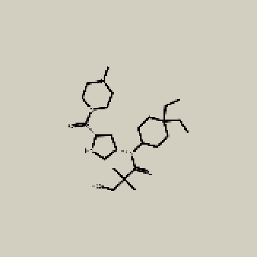 CCC1(CC)CCC(N(C(=O)C(C)(C)CO)[C@@H]2CN[C@H](C(=O)N3CCN(C)CC3)C2)CC1